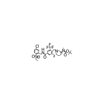 C=Cc1cc(C(=O)NCc2cc(Cl)ccc2S(=O)(=O)CC)cc(C(F)(F)F)c1CN1CCC[C@H](N(C)C(=O)OC(C)(C)C)C1